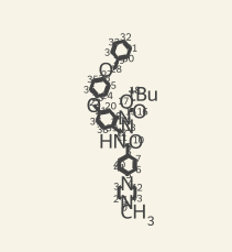 CN1CCN(c2ccc(C(=O)Nc3nn(C(=O)OC(C)(C)C)c4cc(Oc5ccc(OCc6ccccc6)cc5)ccc34)cc2)CC1